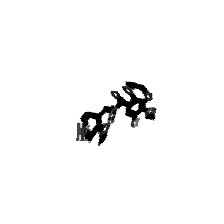 COc1c(Cl)cc(C(=O)NC[C@@H]2CCNCC2OC)c2c1OCCO2